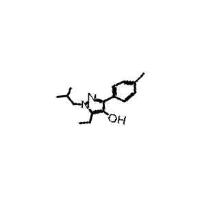 CCc1c(O)c(-c2ccc(C)cc2)nn1CC(C)C